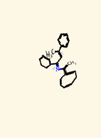 C=C(/N=C(\C=C(/C)c1ccccc1)C1C=CCCC1)C1=CCC=CC=C1